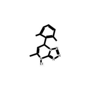 CCN1C(C)=CC(c2c(C)cccc2C)n2nnnc21